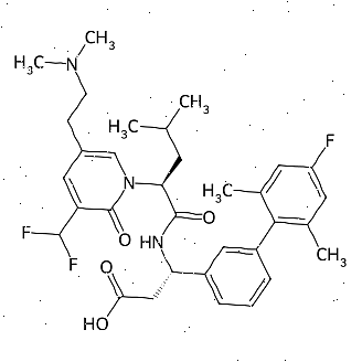 Cc1cc(F)cc(C)c1-c1cccc([C@H](CC(=O)O)NC(=O)[C@H](CC(C)C)n2cc(CCN(C)C)cc(C(F)F)c2=O)c1